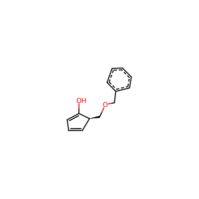 OC1=CC=C[C@@H]1COCc1ccccc1